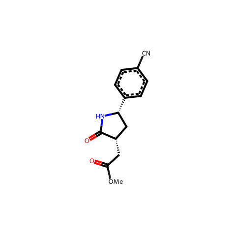 COC(=O)C[C@H]1C[C@@H](c2ccc(C#N)cc2)NC1=O